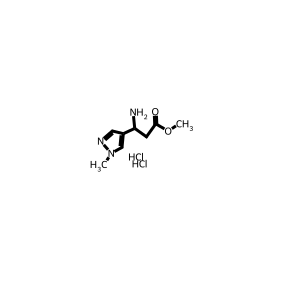 COC(=O)CC(N)c1cnn(C)c1.Cl.Cl